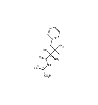 CC[C@H](C)[C@H](NC(=O)[C@](N)(O)C(C)(N)Cc1ccccc1)C(=O)O